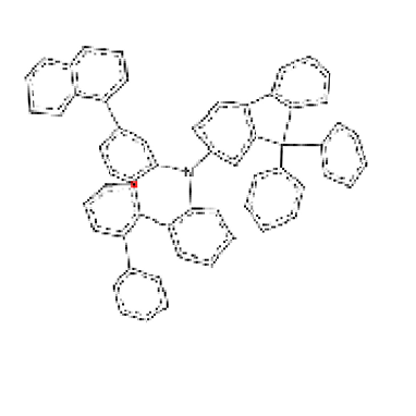 c1ccc(-c2ccccc2-c2ccccc2N(c2cccc(-c3cccc4ccccc34)c2)c2ccc3c(c2)C(c2ccccc2)(c2ccccc2)c2ccccc2-3)cc1